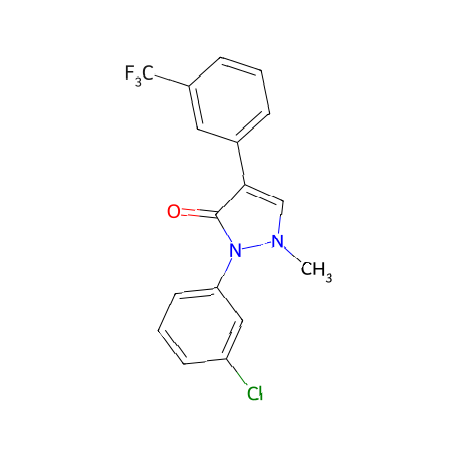 Cn1cc(-c2cccc(C(F)(F)F)c2)c(=O)n1-c1cccc(Cl)c1